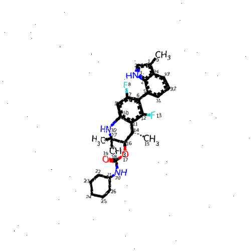 Cc1c[nH]c2c(-c3c(F)cc4c(c3F)[C@H](C)C(OC(=O)NC3CCCCC3)C(C)(C)N4)cccc12